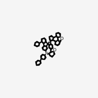 CC1(C)c2cc(N(c3ccc(-c4ccccc4)cc3)c3cccc4oc5cc(-c6cccc7c8cccc9oc%10cccc(c67)c%10c98)ccc5c34)ccc2-c2c(-c3ccccc3)cccc21